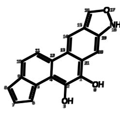 Oc1c(O)c2c3cccc3ccc2c2cc3co[nH]c3cc12